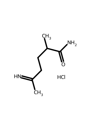 CC(=N)CCC(C)C(N)=O.Cl